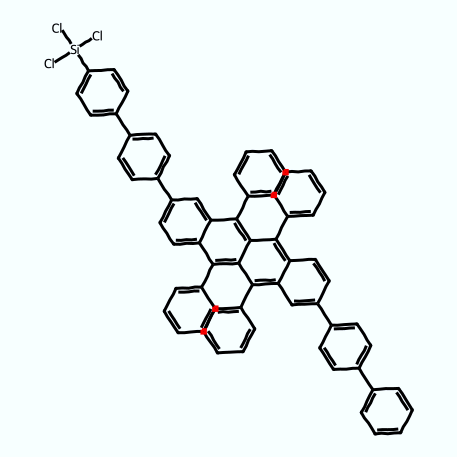 Cl[Si](Cl)(Cl)c1ccc(-c2ccc(-c3ccc4c(-c5ccccc5)c5c(-c6ccccc6)c6cc(-c7ccc(-c8ccccc8)cc7)ccc6c(-c6ccccc6)c5c(-c5ccccc5)c4c3)cc2)cc1